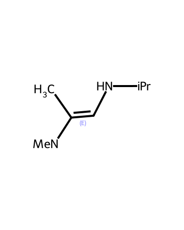 CN/C(C)=C/NC(C)C